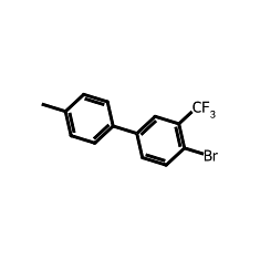 Cc1ccc(-c2ccc(Br)c(C(F)(F)F)c2)cc1